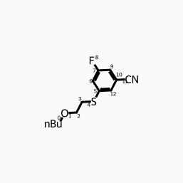 CCCCOCCSc1cc(F)cc(C#N)c1